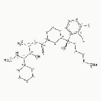 COCCCC[C@@](O)(c1cccc(Cl)c1F)C1CCCN(C(=O)N[C@@H](C)C(O)C(NC(=O)O)C2CCCCC2)C1